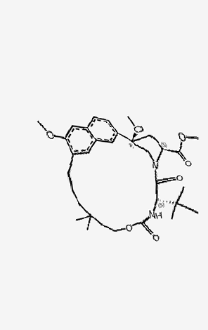 COC(=O)[C@@H]1C[C@]2(OC)CN1C(=O)[C@H](C(C)(C)C)NC(=O)OCCC(C)(C)CCCc1cc3cc2ccc3cc1OC